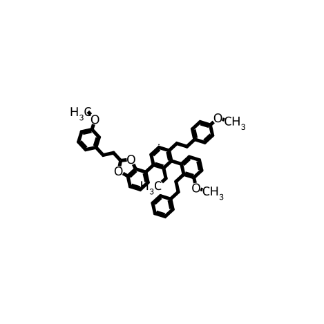 CCc1c(-c2cccc3c2OC(CCc2cccc(OC)c2)O3)c[c]c(CCc2ccc(OC)cc2)c1-c1cccc(OC)c1CCc1ccccc1